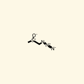 C[S+]([O-])CN=[N+]=[N-]